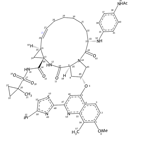 COc1ccc2c(O[C@@H]3C[C@H]4C(=O)N[C@]5(C(=O)NS(=O)(=O)C6(C)CC6)C[C@H]5/C=C\CCCCC[C@H](Nc5ccc(NC(C)=O)cc5)C(=O)N4C3)cc(-c3nc(C(C)C)cs3)nc2c1C